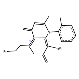 C=C/C(CCC)=C1\C(=C(/C)CCC(C)C)C(=C)C=C(C)N1c1ccccc1C